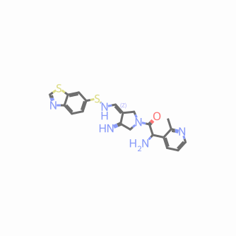 Cc1ncccc1C(N)C(=O)N1CC(=N)/C(=C\NSc2ccc3ncsc3c2)C1